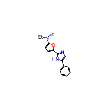 CCN(CC)c1ccc(-c2ncc(-c3ccccc3)[nH]2)o1